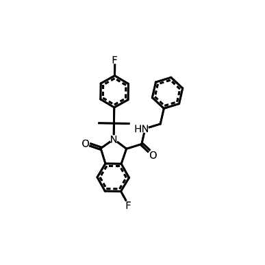 CC(C)(c1ccc(F)cc1)N1C(=O)c2ccc(F)cc2C1C(=O)NCc1ccccc1